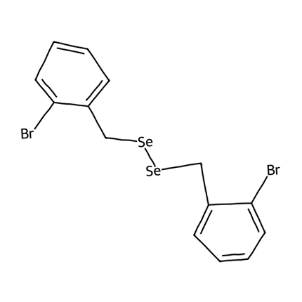 Brc1ccccc1C[Se][Se]Cc1ccccc1Br